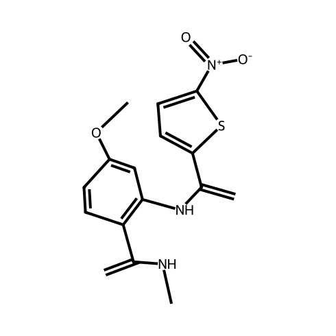 C=C(Nc1cc(OC)ccc1C(=C)NC)c1ccc([N+](=O)[O-])s1